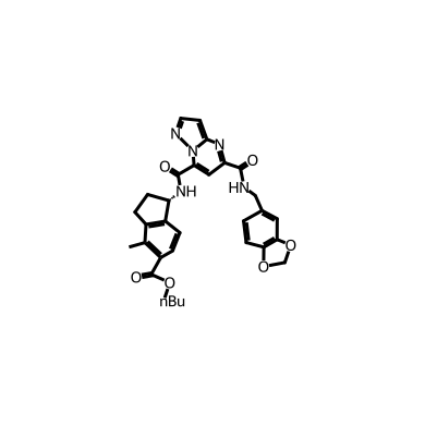 CCCCOC(=O)c1ccc2c(c1C)CC[C@@H]2NC(=O)c1cc(C(=O)NCc2ccc3c(c2)OCO3)nc2ccnn12